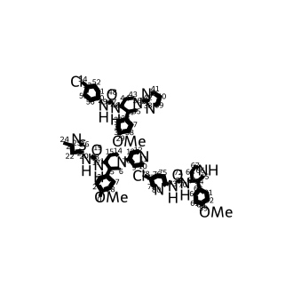 COc1ccc(C2CN(c3ccncc3)CCC2NC(=O)Nc2cc(C)ns2)cc1.COc1ccc(C2CN(c3ncccn3)CCC2NC(=O)Nc2ccc(Cl)cc2)cc1.COc1ccc(C2CNCCC2NC(=O)Nc2ccc(Cl)cn2)cc1